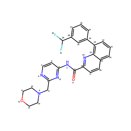 O=C(Nc1ccnc(CN2CCOCC2)n1)c1ccc2cccc(-c3cccc(C(F)F)c3)c2n1